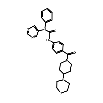 O=C(c1ccc(NC(=O)N(c2ccccc2)c2cncnc2)cc1)N1CCC(N2CCOCC2)CC1